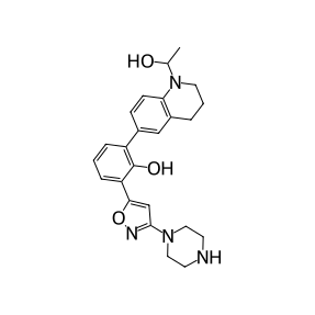 CC(O)N1CCCc2cc(-c3cccc(-c4cc(N5CCNCC5)no4)c3O)ccc21